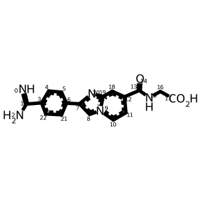 N=C(N)c1ccc(-c2cn3ccc(C(=O)NCC(=O)O)cc3n2)cc1